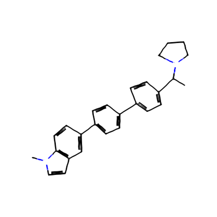 CC(c1ccc(-c2ccc(-c3ccc4c(ccn4C)c3)cc2)cc1)N1CCCC1